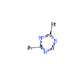 CCc1ncnc(C(C)C)n1